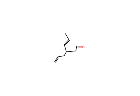 C=CCC(C=CC)CC=O